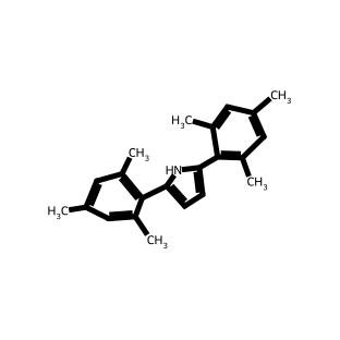 Cc1cc(C)c(-c2ccc(-c3c(C)cc(C)cc3C)[nH]2)c(C)c1